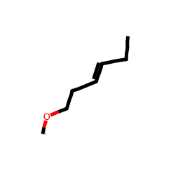 [CH2]OCCC=CCC